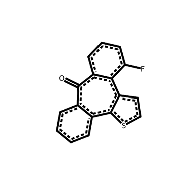 O=c1c2ccccc2c2sccc2c2c(F)cccc12